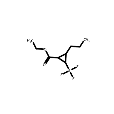 CCCC1C(C(=O)OCC)C1[B-](F)(F)F